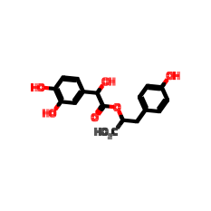 O=C(O)C(Cc1ccc(O)cc1)OC(=O)C(O)c1ccc(O)c(O)c1